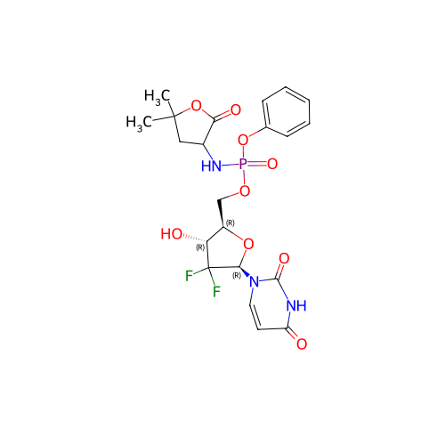 CC1(C)CC(NP(=O)(OC[C@H]2O[C@@H](n3ccc(=O)[nH]c3=O)C(F)(F)[C@@H]2O)Oc2ccccc2)C(=O)O1